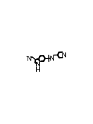 C/N=C/c1c[nH]c2cc(C(C)(C)/N=C/c3ccncc3)ccc12